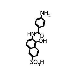 Nc1ccc(C(=O)Nc2ccc3cc(S(=O)(=O)O)ccc3c2O)cc1